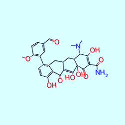 COc1ccc(C=O)cc1-c1ccc(O)c2c1CC1CC3C(N(C)C)C(O)=C(C(N)=O)C(=O)C3(O)C(O)=C1C2=O